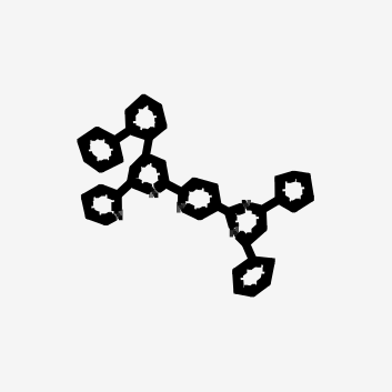 c1ccc(-c2cc(-c3ccccc3)nc(-c3ccc(-c4cc(-c5ccccc5-c5ccccc5)cc(-c5ccccn5)n4)nc3)n2)cc1